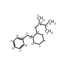 CC(C)N(C)CC1CCCCN1Cc1ccccc1